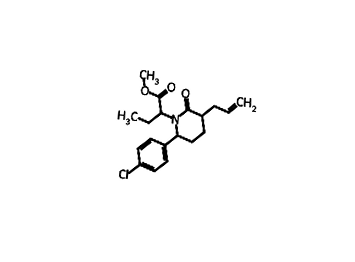 C=CCC1CCC(c2ccc(Cl)cc2)N(C(CC)C(=O)OC)C1=O